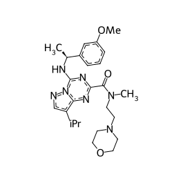 COc1cccc([C@H](C)Nc2nc(C(=O)N(C)CCN3CCOCC3)nc3c(C(C)C)cnn23)c1